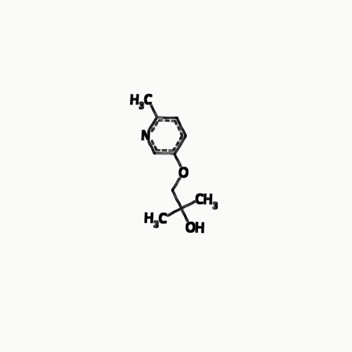 Cc1ccc(OCC(C)(C)O)cn1